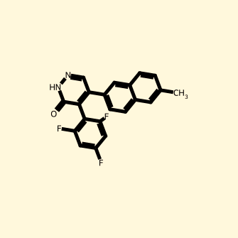 Cc1ccc2cc(-c3cn[nH]c(=O)c3-c3c(F)cc(F)cc3F)ccc2c1